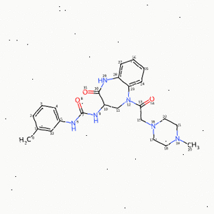 Cc1cccc(NC(=O)NC2CN(C(=O)CN3CCN(C)CC3)c3ccccc3NC2=O)c1